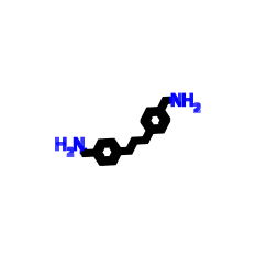 NCc1ccc(CCCc2ccc(CN)cc2)cc1